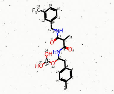 Cc1ccc(CC(NC(=O)C(C)C(=O)NCc2cccc(C(F)(F)F)c2)OB(O)O)cc1